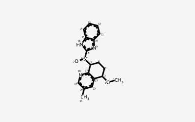 COC1CCC([S+]([O-])c2nc3ccccc3[nH]2)c2ncc(C)cc21